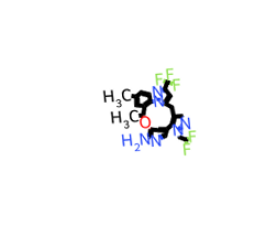 Cc1ccc2c(c1)C(C)Oc1cc(cnc1N)-c1c(cnn1CC(F)F)Cc1cc(C(F)(F)F)nn1-2